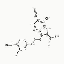 N#Cc1ccc(OCCn2c(C(F)F)cc3c(Cl)c(C#N)ccc32)cc1F